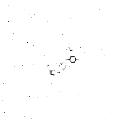 CC(=O)Nc1ccn(C(=O)N2CCN(Cc3ccc(Cl)cc3OC(=O)CN)CC2)n1